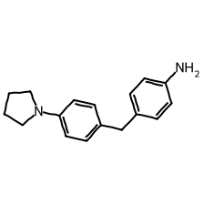 Nc1ccc(Cc2ccc(N3CCCC3)cc2)cc1